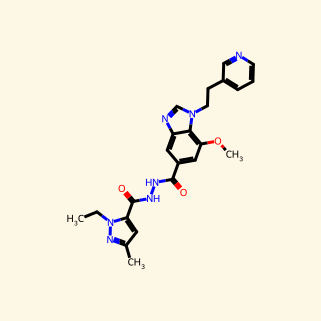 CCn1nc(C)cc1C(=O)NNC(=O)c1cc(OC)c2c(c1)ncn2CCc1cccnc1